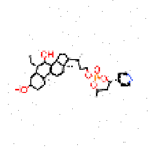 CC[C@@H]1C2C[C@H](O)CC[C@]2(C)C2CC[C@@]3(C)C(CCC3[C@H](C)CCO[P@@]3(=O)OC(C)C[C@@H](c4ccncc4)O3)C2[C@@H]1O